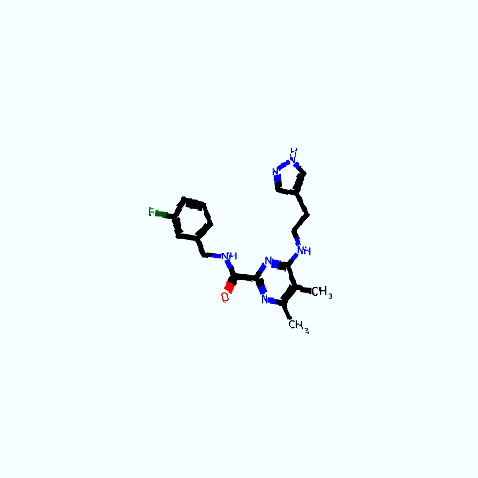 Cc1nc(C(=O)NCc2cccc(F)c2)nc(NCCc2cn[nH]c2)c1C